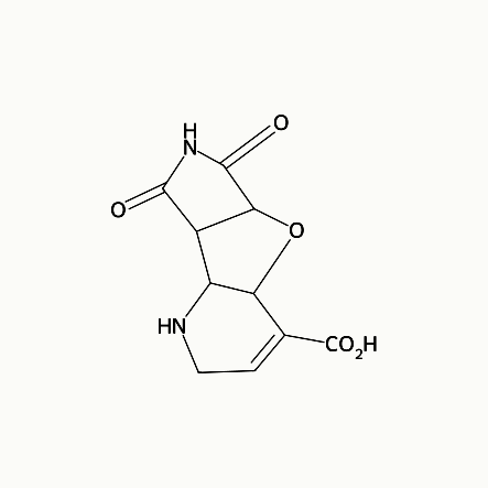 O=C(O)C1=CCNC2C1OC1C(=O)NC(=O)C12